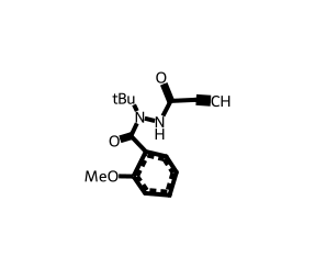 C#CC(=O)NN(C(=O)c1ccccc1OC)C(C)(C)C